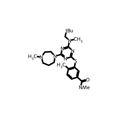 CNC(=O)c1ccc(C)c(Sc2nc(N(C)CC(C)(C)C)nc(N3CCCN(C)CC3)n2)c1